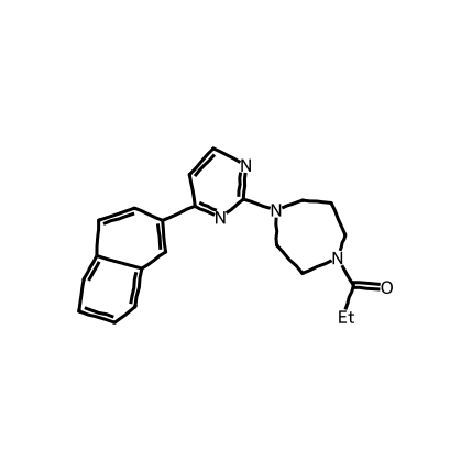 CCC(=O)N1CCCN(c2nccc(-c3ccc4ccccc4c3)n2)CC1